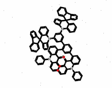 O=c1c2ccccc2n(-c2ccccc2)c2cccc(-c3ccc(-c4cc(N5c6ccccc6C6(c7ccccc7-c7ccccc76)c6ccccc65)cc(N5c6ccccc6C6(c7ccccc7-c7ccccc76)c6ccccc65)c4)c(-c4cccc5c4c(=O)c4ccccc4n5-c4ccccc4)c3)c12